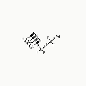 CC#N.CC#N.CC#N.CC#N.F[B-](F)(F)F.F[B-](F)(F)F.[Pd]